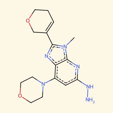 Cn1c(C2=CCCOC2)nc2c(N3CCOCC3)cc(NN)nc21